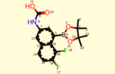 CC1(C)OB(c2cc(NC(=O)O)cc3ccc(F)c(F)c23)OC1(C)C